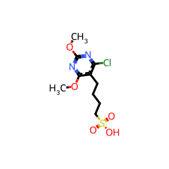 COc1nc(Cl)c(CCCCS(=O)(=O)O)c(OC)n1